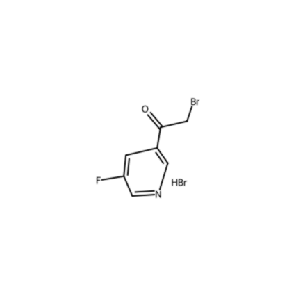 Br.O=C(CBr)c1cncc(F)c1